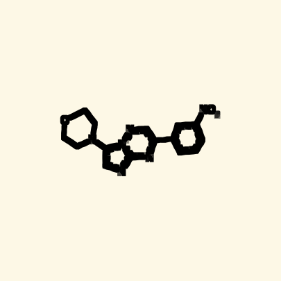 O=[N+]([O-])c1cccc(-c2cnn3c(N4CCOCC4)cnc3n2)c1